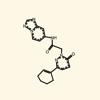 O=C(Cn1nc(C2=CCCCC2)ccc1=O)Nc1ccn2ncnc2c1